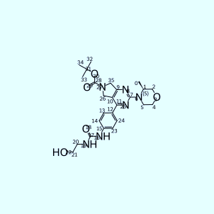 C[C@H]1COCCN1c1nc2c(c(-c3ccc(NC(=O)NCCO)cc3)n1)CN(C(=O)OC(C)(C)C)C2